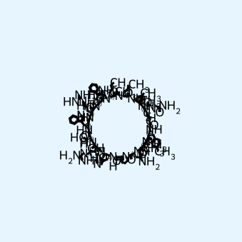 CCCC[C@H]1C(=O)N(C)[C@@H](CCCC)C(=O)N[C@@H](C=C(C)C)C(=O)N[C@H](C(=O)NCC(N)=O)CSCC(=O)N[C@@H](CC2=CCC(C)C=C2)C(=O)N(C)[C@@H](C)C(=O)N[C@@H](CC(N)=O)C(=O)N2CCC[C@H]2C(=O)N[C@@H](Cc2cnc[nH]2)C(O)N[C@@H](CCCNC(=N)N)C(=O)N[C@@H](CO)C(=O)N[C@@H](Cc2c[nH]c3ccccc23)C(=O)N[C@@H](CCCNC(=N)N)C(=O)N[C@@H](Cc2c[nH]c3ccccc23)C(=O)N1C